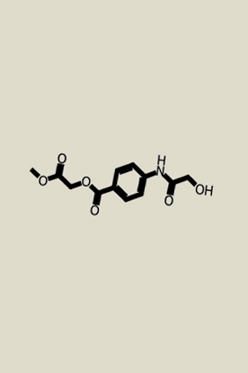 COC(=O)COC(=O)c1ccc(NC(=O)CO)cc1